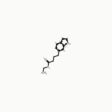 CCOC(=O)CCCc1ccc2ccoc2c1